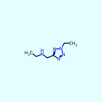 CCNCc1nnn(CC)n1